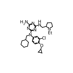 CCN1CCCC1CNc1nc(N)nc(N(CC2CCCCC2)c2ccc(OC3CC3)c(Cl)c2)n1